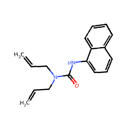 C=CCN(CC=C)C(=O)Nc1cccc2ccccc12